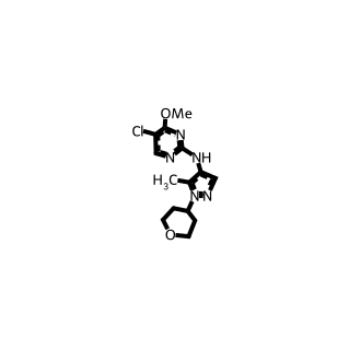 COc1nc(Nc2cnn(C3CCOCC3)c2C)ncc1Cl